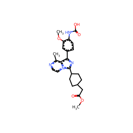 COC(=O)CC1CCC(c2nc(-c3ccc(NC(=O)O)c(OC)c3)c3c(C)nccn23)CC1